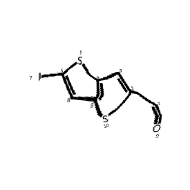 O=Cc1cc2sc(I)cc2s1